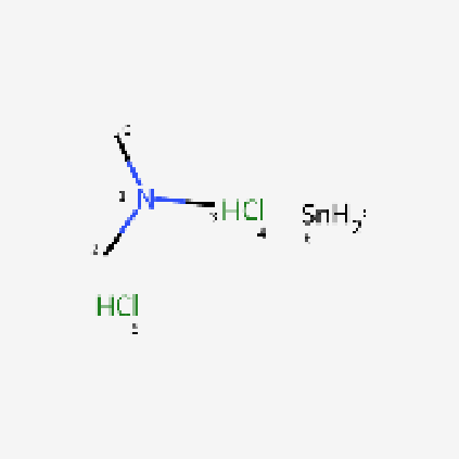 CN(C)C.Cl.Cl.[SnH2]